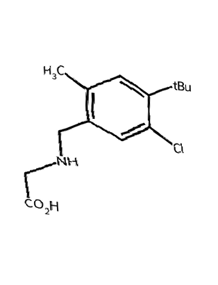 Cc1cc(C(C)(C)C)c(Cl)cc1CNCC(=O)O